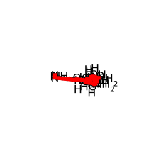 CCCC[C@H](NC(=O)[C@H](CO)NC(=O)[C@H](CN)NC(=O)[C@H](CCC(N)=O)NC(=O)[C@H](CO)NC(=O)CNC(=O)COCCOCCNC(=O)CCCCCCCCCCCCCCCc1nnn[nH]1)C(=O)NC